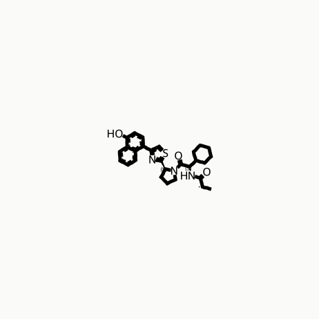 C[CH]C(=O)N[C@H](C(=O)N1CCC[C@H]1c1nc(-c2ccc(O)c3ccccc23)cs1)C1CCCCC1